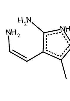 Cc1c[nH]c(N)c1/C=C\N